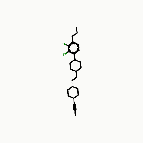 CC#C[C@H]1CC[C@H](CCC2CCC(c3ccc(CCC)c(F)c3F)CC2)CC1